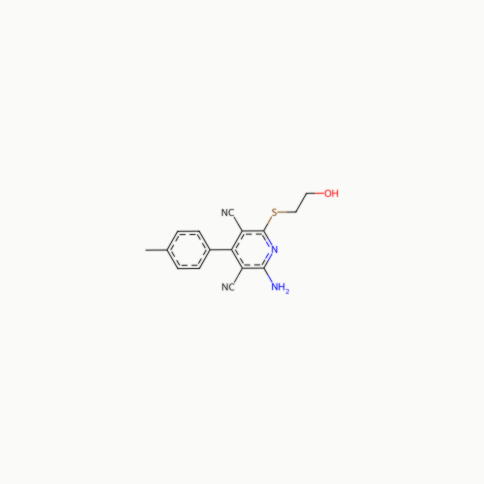 Cc1ccc(-c2c(C#N)c(N)nc(SCCO)c2C#N)cc1